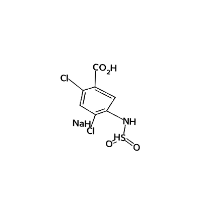 O=C(O)c1cc(N[SH](=O)=O)c(Cl)cc1Cl.[NaH]